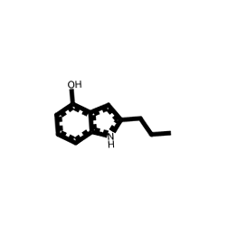 CCCc1cc2c(O)cccc2[nH]1